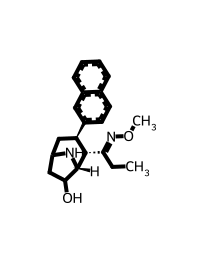 CCC(=NOC)[C@H]1[C@H](c2ccc3ccccc3c2)CC2CC(O)[C@@H]1N2